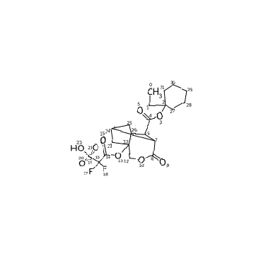 CCC1(OC(=O)C2C3C(=O)OCC4(OC(=O)C(F)(F)S(=O)(=O)O)CC3CC24)CCCCC1